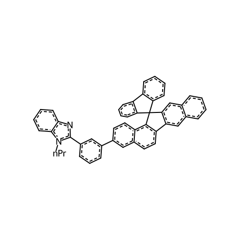 CCCn1c(-c2cccc(-c3ccc4c5c(ccc4c3)-c3cc4ccccc4cc3C53c4ccccc4-c4ccccc43)c2)nc2ccccc21